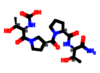 C[C@@H](O)[C@H](NC(=O)[C@@H]1CCCN1C(=O)[C@@H]1CCN(C(=O)[C@@H](NC(=O)O)[C@@H](C)O)C1)C(N)=O